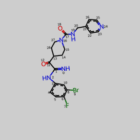 N=C(Nc1ccc(F)c(Br)c1)C(=O)C1CCN(C(=O)NCc2ccncc2)CC1